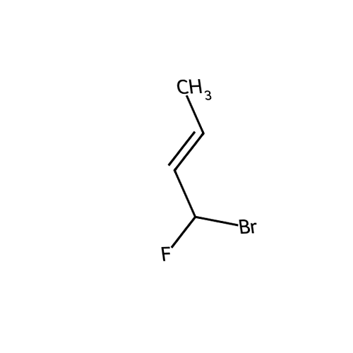 CC=CC(F)Br